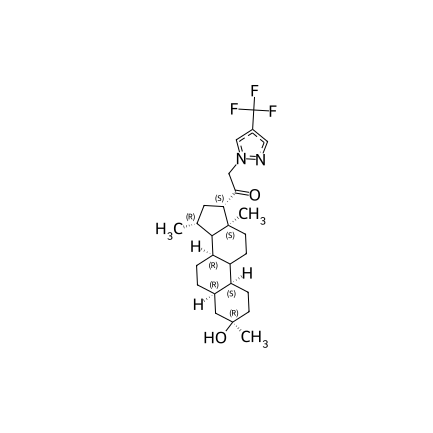 C[C@@H]1C[C@H](C(=O)Cn2cc(C(F)(F)F)cn2)[C@@]2(C)CCC3[C@@H](CC[C@@H]4C[C@](C)(O)CC[C@H]34)C12